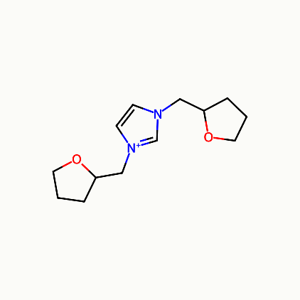 c1c[n+](CC2CCCO2)cn1CC1CCCO1